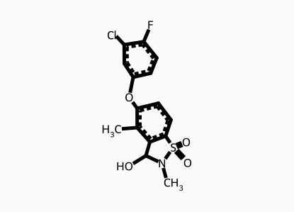 Cc1c(Oc2ccc(F)c(Cl)c2)ccc2c1C(O)N(C)S2(=O)=O